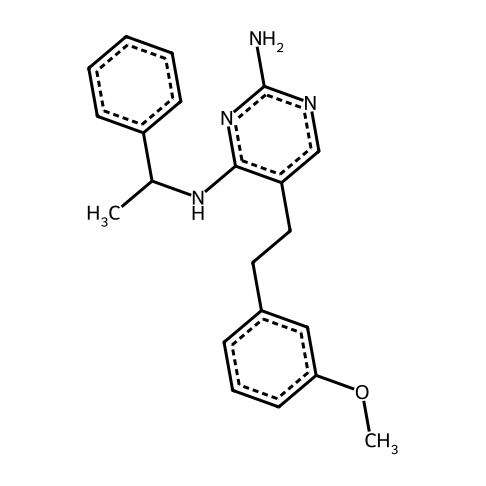 COc1cccc(CCc2cnc(N)nc2NC(C)c2ccccc2)c1